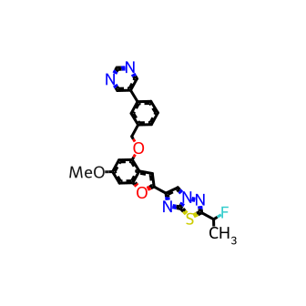 COc1cc(OCc2cccc(-c3cncnc3)c2)c2cc(-c3cn4nc(C(C)F)sc4n3)oc2c1